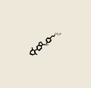 Cc1cccc(C)c1-c1ccc2c(c1)CCC2Nc1ccc(CCC(=O)O)cc1